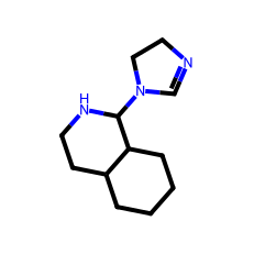 C1=NCCN1C1NCCC2CCCCC21